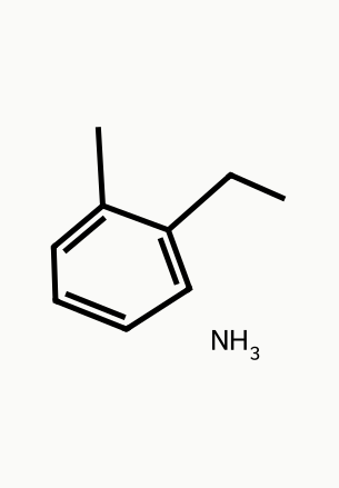 CCc1ccccc1C.N